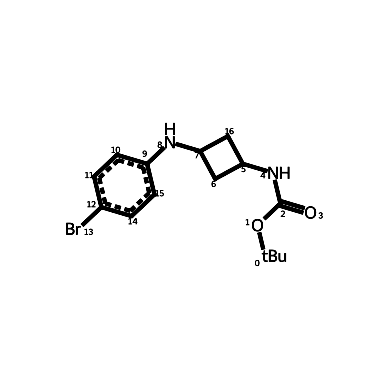 CC(C)(C)OC(=O)NC1CC(Nc2ccc(Br)cc2)C1